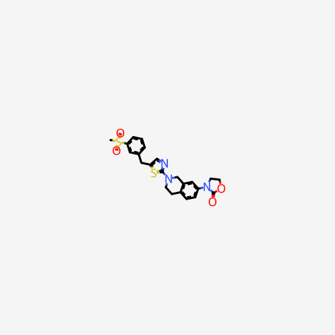 CS(=O)(=O)c1cccc(Cc2cnc(N3CCc4ccc(N5CCOC5=O)cc4C3)s2)c1